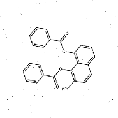 CCCc1ccc2cccc(OC(=O)c3ccccc3)c2c1OC(=O)c1ccccc1